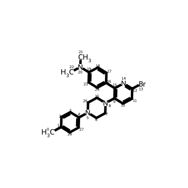 Cc1ccc(N2CCN(c3ccc(Br)nc3-c3ccc(N(C)C)cc3)CC2)cc1